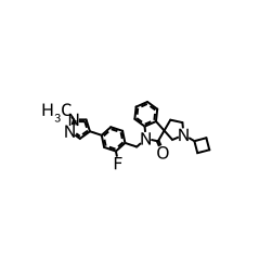 Cn1cc(-c2ccc(CN3C(=O)C4(CCN(C5CCC5)C4)c4ccccc43)c(F)c2)cn1